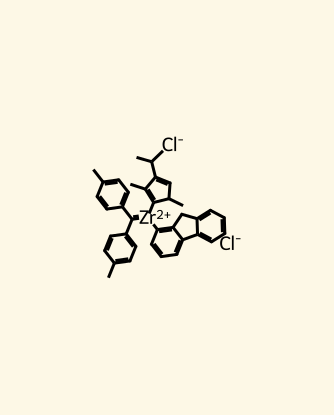 CC1=[C]([Zr+2](=[C](c2ccc(C)cc2)c2ccc(C)cc2)[c]2cccc3c2Cc2ccccc2-3)C(C)C=C1C(C)C.[Cl-].[Cl-]